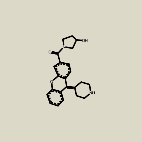 O=C(c1ccc2c(c1)Oc1ccccc1C2=C1CCNCC1)N1CCC(O)C1